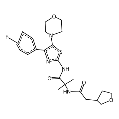 CC(C)(NC(=O)CC1CCOC1)C(=O)Nc1nc(-c2ccc(F)cc2)c(N2CCOCC2)s1